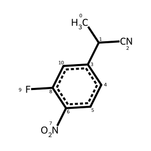 CC(C#N)c1ccc([N+](=O)[O-])c(F)c1